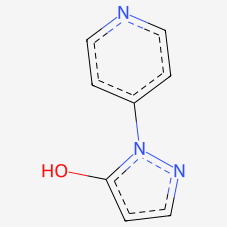 Oc1ccnn1-c1ccncc1